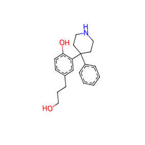 OCCCc1ccc(O)c(C2(c3ccccc3)CCNCC2)c1